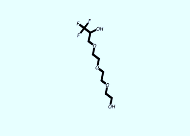 OCCOCCOCCOCC(O)C(F)(F)F